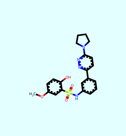 COc1ccc(O)c(S(=O)(=O)Nc2cccc(-c3ccc(N4CCCC4)nn3)c2)c1